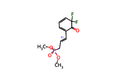 COP(=O)(C/C=C/C1=CC=CC(F)(F)C1=O)OC